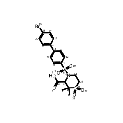 CC1(C)C(C(=O)O)N(S(=O)(=O)c2ccc(-c3ccc(Br)cc3)cc2)CCS1(=O)=O